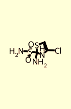 NC1(S(N)(=O)=O)NC(Cl)=CS1